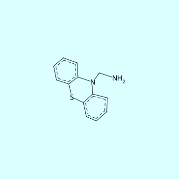 NCN1c2ccccc2Sc2ccccc21